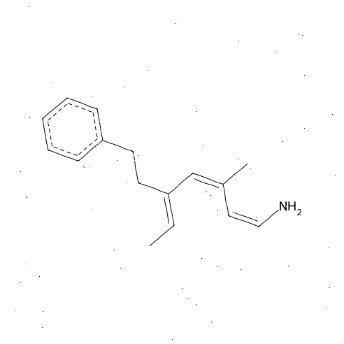 C/C=C(/C=C(C)\C=C/N)CCc1ccccc1